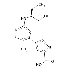 CC[C@@H](CO)Nc1cc(-c2c[nH]c(C(=O)O)c2)c(C)cn1